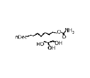 CCCCCCCCCCCCCCCCCCOC(N)=O.OCC(O)CO